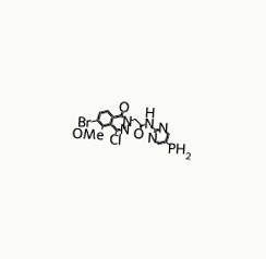 COc1c(Br)ccc2c(=O)n(CC(=O)Nc3ncc(P)cn3)nc(Cl)c12